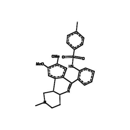 COc1cc2c(cc1OC)C1CN(C)CCC1N=C2c1ccccc1NS(=O)(=O)c1ccc(C)cc1